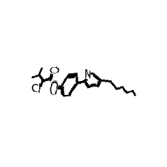 CCCCCCc1ccc(-c2ccc(OC(=O)C(Cl)C(C)C)cc2)nc1